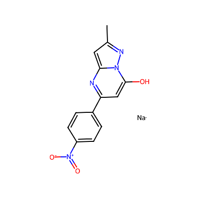 Cc1cc2nc(-c3ccc([N+](=O)[O-])cc3)cc(O)n2n1.[Na]